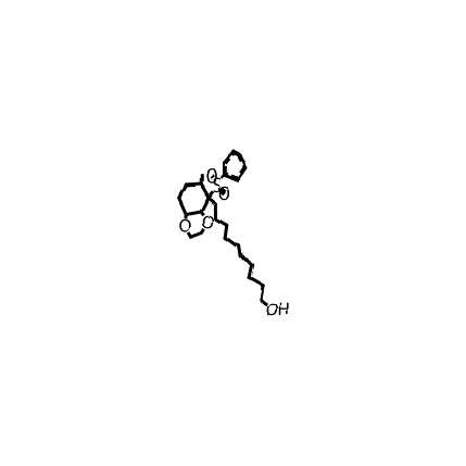 CC1CCC2OCCOC2C1(CCCCCCCCCCO)S(=O)(=O)c1ccccc1